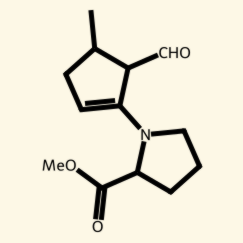 COC(=O)C1CCCN1C1=CCC(C)C1C=O